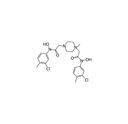 Cc1ccc(N(O)C(=O)CN2CC[N+](C)(CC(=O)N(O)c3ccc(C)c(Cl)c3)CC2)cc1Cl